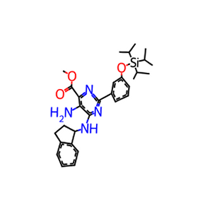 COC(=O)c1nc(-c2cccc(O[Si](C(C)C)(C(C)C)C(C)C)c2)nc(NC2CCc3ccccc32)c1N